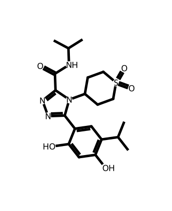 CC(C)NC(=O)c1nnc(-c2cc(C(C)C)c(O)cc2O)n1C1CCS(=O)(=O)CC1